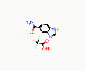 NC(=O)c1ccc2[nH]cnc2c1.O=C(O)C(F)(F)F